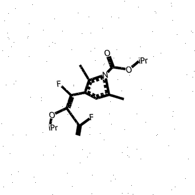 C=C(F)/C(OC(C)C)=C(/F)c1cc(C)n(C(=O)OC(C)C)c1C